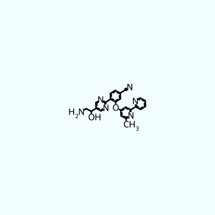 Cc1cc(Oc2cc(C#N)ccc2-c2ncc(C(O)CN)cn2)cc(-c2ccccn2)n1